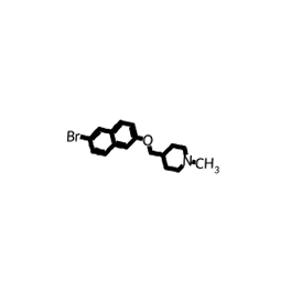 CN1CCC(COc2ccc3cc(Br)ccc3c2)CC1